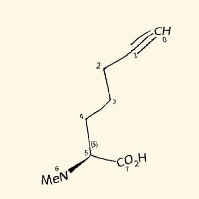 C#CCCC[C@H](NC)C(=O)O